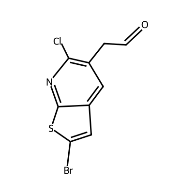 O=CCc1cc2cc(Br)sc2nc1Cl